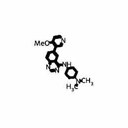 COc1ccncc1-c1ccc2ncnc(N[C@H]3CC[C@H](N(C)C)CC3)c2c1